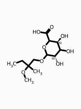 CCC(C)(COC1OC(C(=O)O)[C@@H](O)C(O)[C@@H]1O)OC